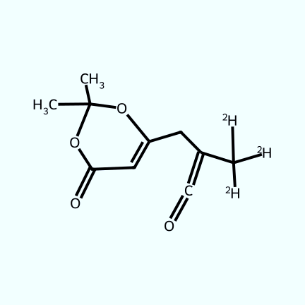 [2H]C([2H])([2H])C(=C=O)CC1=CC(=O)OC(C)(C)O1